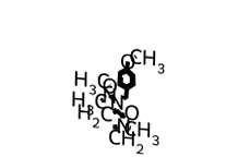 C=CN(C)C(=O)C(=C)N(Cc1ccc(OC)cc1)N(C)OC